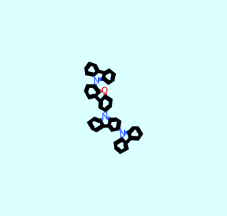 c1cc(-n2c3ccccc3c3ccccc32)c2oc3ccc(-n4c5ccccc5c5cc(-n6c7ccccc7c7ccccc76)ccc54)cc3c2c1